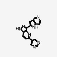 c1cc2[nH]c(-c3n[nH]c4ccc(-c5cncnc5)nc34)cc2cn1